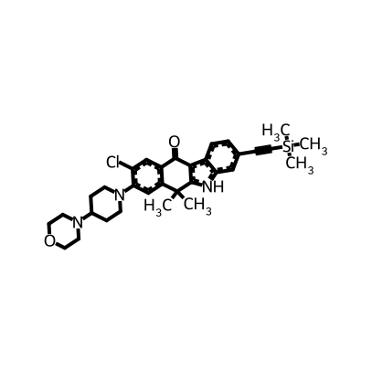 CC1(C)c2cc(N3CCC(N4CCOCC4)CC3)c(Cl)cc2C(=O)c2c1[nH]c1cc(C#C[Si](C)(C)C)ccc21